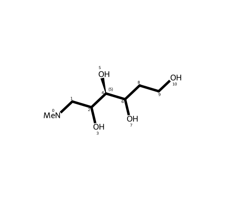 CNCC(O)[C@@H](O)C(O)CCO